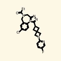 CCC(=O)N1Cc2cc(Cl)ccc2-n2c(nnc2C2CC3(C2)CN(c2ccc(F)cn2)C3)C1